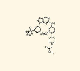 COc1cc(Nc2ncc3ccc(-c4cccc(S(=O)(=O)NC(C)(C)C)c4)n3n2)ccc1C1CCN(CC(N)=O)CC1